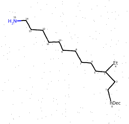 CCCCCCCCCCCCC(CC)CCCCCCCCCCN